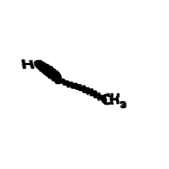 CCCCCCCCCCCCCCCCCCCCCCCCCOOOOOOOOOOOO